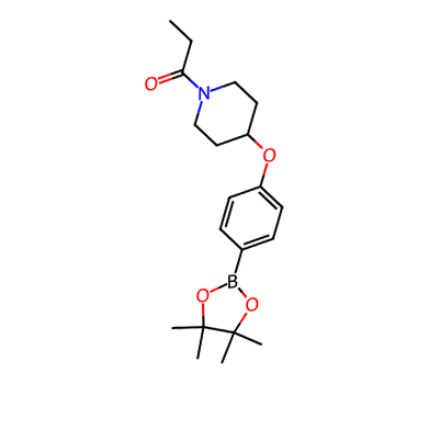 CCC(=O)N1CCC(Oc2ccc(B3OC(C)(C)C(C)(C)O3)cc2)CC1